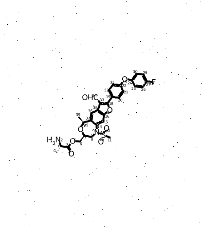 C[C@H](N)C(=O)OC[C@@H]1CN(S(C)(=O)=O)c2cc3oc(-c4ccc(Oc5ccc(F)cc5)cc4)c(C=O)c3cc2[C@H](C)O1